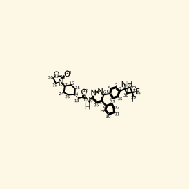 NC1(c2ccc(-c3nnc(NC(=O)C[C@H]4CC[C@H](N5CCOC5=O)CC4)cc3-c3ccccc3)cc2)CC(F)(F)C1